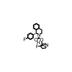 O=C(O[C@H]1CN2CCC1(F)CC2)N1CCc2ccccc2[C@@H]1c1ccc(F)cc1